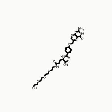 Nc1nc2ncc(CNc3ccc(C(=O)NC(CCC(=O)NCCOCCOCCOCCO)C(=O)O)cc3)nc2c(=O)[nH]1